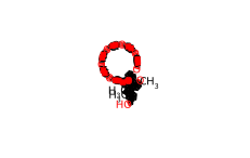 COc1ccc2c3c(c4c(c2c1)OC1(C=C4)c2ccc(cc2)Oc2ccc(cc2)Oc2ccc(cc2)Oc2ccc(cc2)Oc2ccc(cc2)Oc2ccc(cc2)Oc2ccc1cc2)C(C)(C)c1cc(CO)ccc1-3